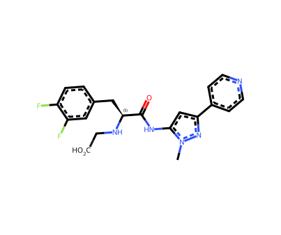 Cn1nc(-c2ccncc2)cc1NC(=O)[C@H](Cc1ccc(F)c(F)c1)NCC(=O)O